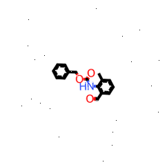 Cc1cccc(C=O)c1NC(=O)OCc1ccccc1